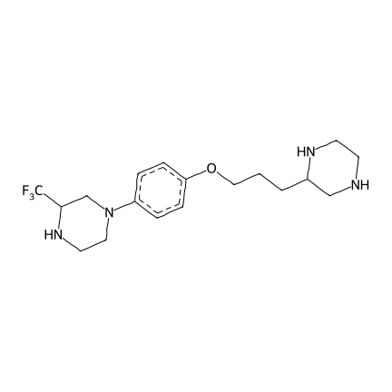 FC(F)(F)C1CN(c2ccc(OCCCC3CNCCN3)cc2)CCN1